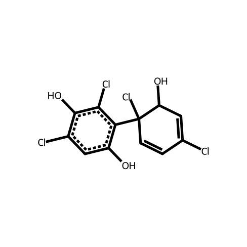 Oc1cc(Cl)c(O)c(Cl)c1C1(Cl)C=CC(Cl)=CC1O